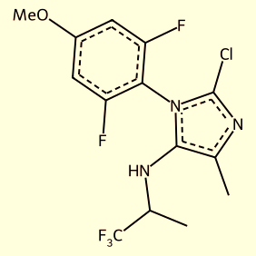 COc1cc(F)c(-n2c(Cl)nc(C)c2NC(C)C(F)(F)F)c(F)c1